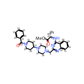 COC(=O)[C@@H](Nc1nc(CN2CCN(C3CCN(C(=O)c4ccccc4)CC3)CC2)nc2ccccc12)C(C)C